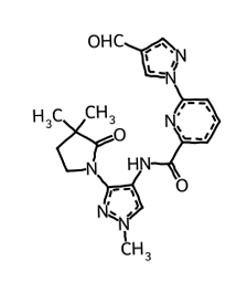 Cn1cc(NC(=O)c2cccc(-n3cc(C=O)cn3)n2)c(N2CCC(C)(C)C2=O)n1